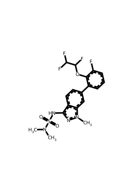 CN(C)S(=O)(=O)Nc1nn(C)c2cc(-c3cccc(F)c3OC(F)C(F)F)ccc12